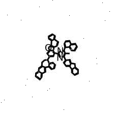 Cc1c(-c2ccc3c(c2)Cc2ccccc2-3)nc(-c2cc(C3CCc4cc5ccccc5cc4-c4ccccc43)cc3oc4c5ccccc5ccc4c23)nc1-c1cccc2ccccc12